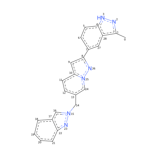 Cc1n[nH]c2ccc(-c3cc4ccc(Cn5cc6ccccc6n5)cn4n3)cc12